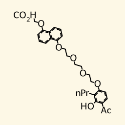 CCCc1c(OCCOCCOCCOc2cccc3c(OCC(=O)O)cccc23)ccc(C(C)=O)c1O